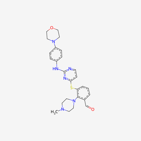 CN1CCN(c2c(C=O)cccc2Sc2ccnc(Nc3ccc(N4CCOCC4)cc3)n2)CC1